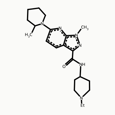 CCN1CCC(NC(=O)c2nn(C)c3nc(N4CCCCC4C)ccc23)CC1